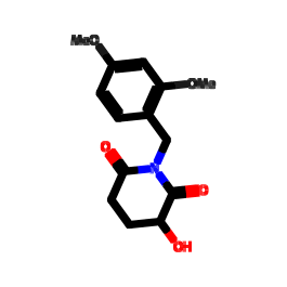 COc1ccc(CN2C(=O)CCC(O)C2=O)c(OC)c1